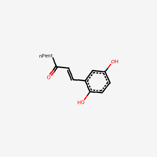 CCCCCC(=O)C=Cc1cc(O)ccc1O